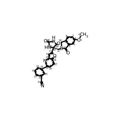 COc1ccc2c(c1)C(=O)N(C[C@@]1(c3cc4nc(-c5cccc(C#N)c5)ccc4o3)NC(=O)NC1=O)C2